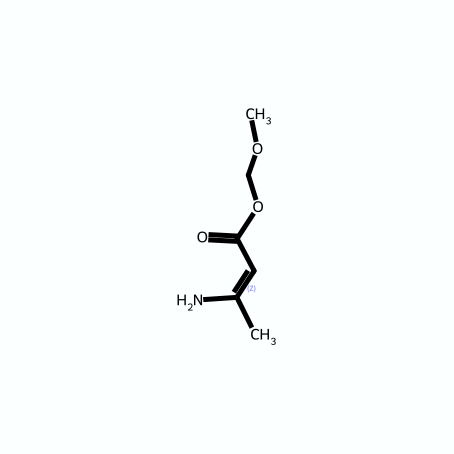 COCOC(=O)/C=C(/C)N